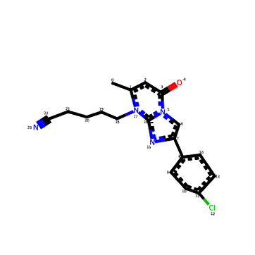 Cc1cc(=O)n2cc(-c3ccc(Cl)cc3)nc2n1CCCCC#N